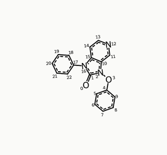 O=c1n(Oc2ccccc2)c2cnccc2n1-c1ccccc1